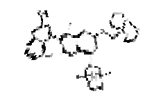 C[C@]12CC[C@H](CN(c3nc(OC[C@@]45CCCN4C[C@H](F)C5)nc4c(F)c(-c5cc(O)cc6cccc(F)c56)c(F)cc34)C1)N2